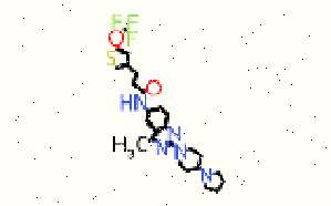 Cc1nc(N2CCC(N3CCCC3)CC2)nc2ccc(NC(=O)CCc3csc(OC(F)(F)F)c3)cc12